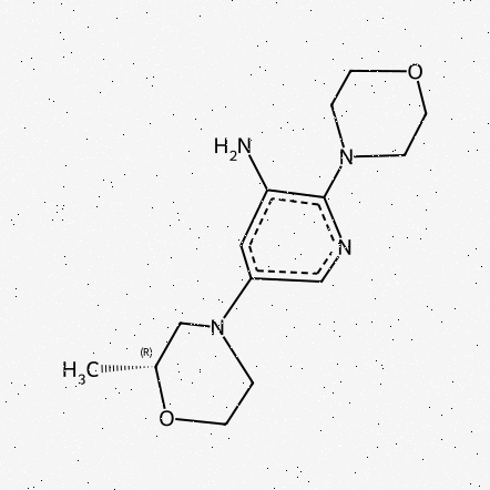 C[C@@H]1CN(c2cnc(N3CCOCC3)c(N)c2)CCO1